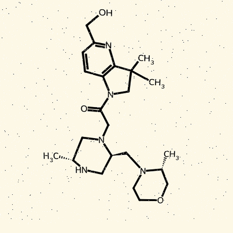 C[C@@H]1CN(CC(=O)N2CC(C)(C)c3nc(CO)ccc32)[C@@H](CN2CCOC[C@H]2C)CN1